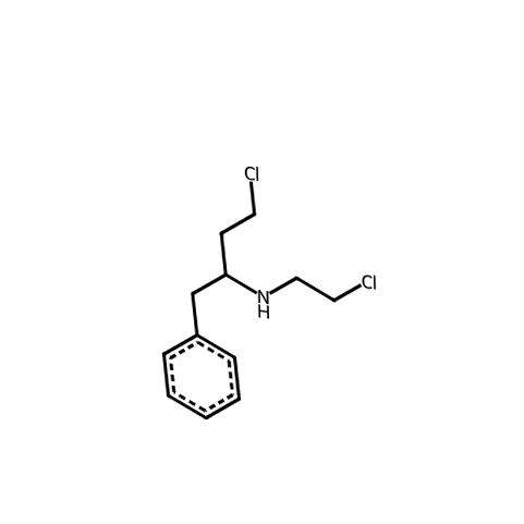 ClCCNC(CCCl)Cc1ccccc1